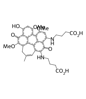 COc1c2c3c4c(c(NCCCC(=O)O)c(=O)c5c(NCCCC(=O)O)cc(OC)c(c6c(OC)cc(O)c(c1=O)c63)c54)C=C(C)C2